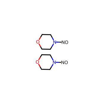 O=NN1CCOCC1.O=NN1CCOCC1